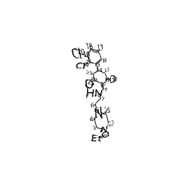 CCON1CCN(CCNC=C2C(=O)CC(c3cccc(Cl)c3Cl)CC2=O)CC1